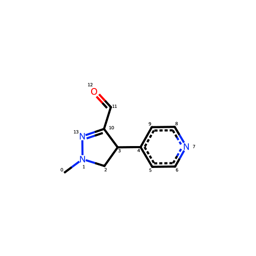 CN1CC(c2ccncc2)C(C=O)=N1